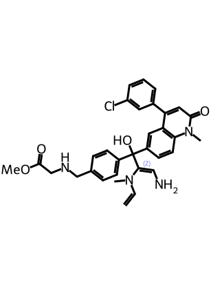 C=CN(C)/C(=C\N)C(O)(c1ccc(CNCC(=O)OC)cc1)c1ccc2c(c1)c(-c1cccc(Cl)c1)cc(=O)n2C